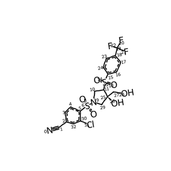 N#Cc1ccc(S(=O)(=O)N2CC(S(=O)(=O)c3ccc(C(F)(F)F)cc3)[C@](O)(CO)C2)c(Cl)c1